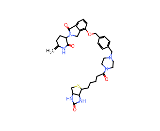 C=C1CCC(N2Cc3c(OCc4ccc(CN5CCN(C(=O)CCCCC6SCC7NC(=O)NC76)CC5)cc4)cccc3C2=O)C(=O)N1